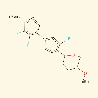 CCCCCc1ccc(-c2ccc(C3CCC(OCCCC)CO3)c(F)c2)c(F)c1F